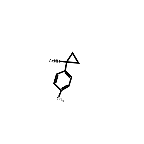 CC(=O)NC1(c2ccc(C)cc2)CC1